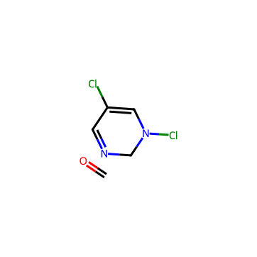 C=O.ClC1=CN(Cl)CN=C1